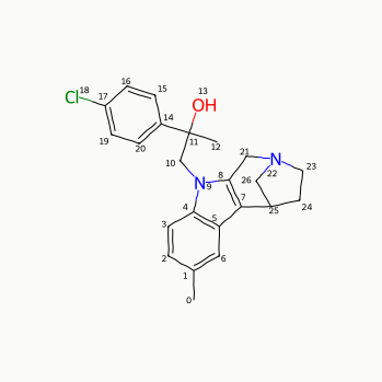 Cc1ccc2c(c1)c1c(n2CC(C)(O)c2ccc(Cl)cc2)CN2CCC1C2